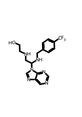 OCCNCC(NCc1ccc(C(F)(F)F)cc1)n1cnc2cncnc21